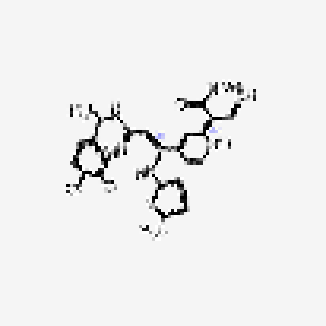 CNC(=O)/C(C=N)=C1C=C(/C(=C/C(=N)NC(C)c2ccc(Cl)c(Cl)c2)Nc2cccc(C)n2)C=CN\1